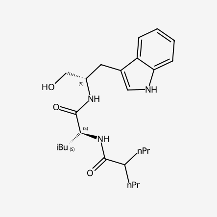 CCCC(CCC)C(=O)N[C@H](C(=O)N[C@H](CO)Cc1c[nH]c2ccccc12)[C@@H](C)CC